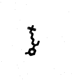 CCN(CCCCOS(C)(=O)=O)c1cccc(C)c1